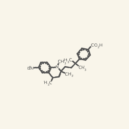 CC1CC(C)(CCC(C)(C)c2ccc(C(=O)O)cc2)N(C)c2ccc(C(C)(C)C)cc21